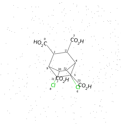 O=C(O)C1C(C(=O)O)C2C(Cl)C(Cl)C1C(C(=O)O)C2C(=O)O